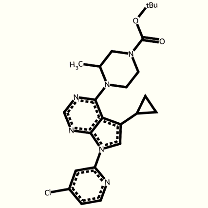 CC1CN(C(=O)OC(C)(C)C)CCN1c1ncnc2c1c(C1CC1)cn2-c1cc(Cl)ccn1